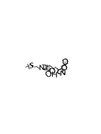 COc1ccc2nccc(CCC[C@@H]3CCN(CCCSC(C)(C)C)C[C@@H]3C(=O)O)c2c1